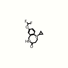 O=C1CCN(C2CC2)c2ccc(OC(F)F)cc2CN1